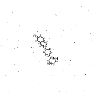 Fc1ccc2nn(-c3ccc(C4CNCCN4)cc3)cc2c1